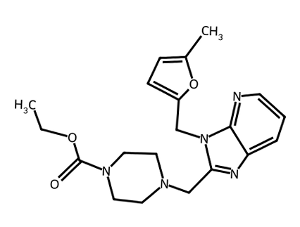 CCOC(=O)N1CCN(Cc2nc3cccnc3n2Cc2ccc(C)o2)CC1